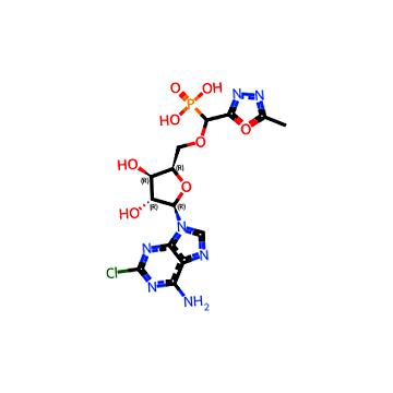 Cc1nnc(C(OC[C@H]2O[C@@H](n3cnc4c(N)nc(Cl)nc43)[C@H](O)[C@H]2O)P(=O)(O)O)o1